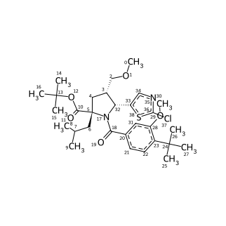 COC[C@H]1C[C@@](CC(C)C)(C(=O)OC(C)(C)C)N(C(=O)c2ccc(C(C)(C)C)c(OC)c2)[C@H]1c1cnc(Cl)s1